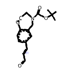 CC(C)(C)OC(=O)N1CCOc2ccc(/C=C/C=O)cc2C1